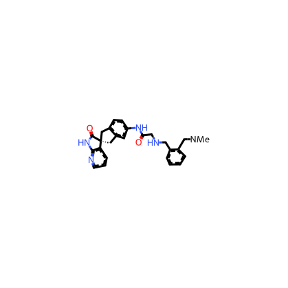 CNCc1ccccc1CNCC(=O)Nc1ccc2c(c1)C[C@@]1(C2)C(=O)Nc2ncccc21